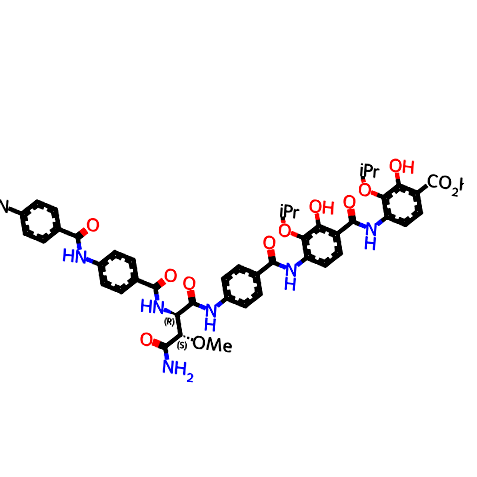 CO[C@H](C(N)=O)[C@@H](NC(=O)c1ccc(NC(=O)c2ccc([N+](=O)[O-])cc2)cc1)C(=O)Nc1ccc(C(=O)Nc2ccc(C(=O)Nc3ccc(C(=O)O)c(O)c3OC(C)C)c(O)c2OC(C)C)cc1